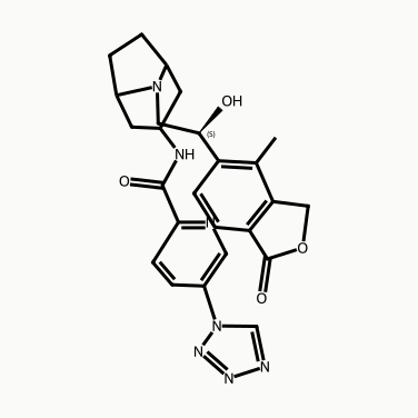 Cc1c([C@H](O)CN2C3CCC2CC(NC(=O)c2ccc(-n4cnnn4)cn2)C3)ccc2c1COC2=O